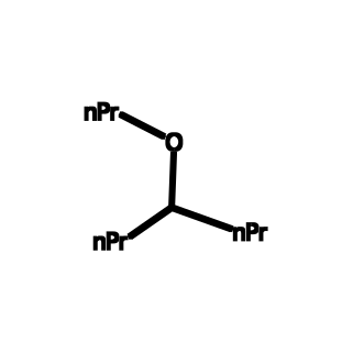 CCCOC(CCC)CCC